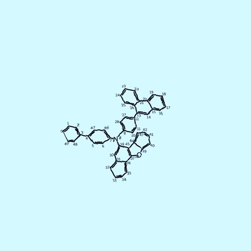 c1ccc(-c2ccc(N(c3ccc(-c4cc5ccccc5c5ccccc45)cc3)c3cc4ccccc4c4oc5ccccc5c34)cc2)cc1